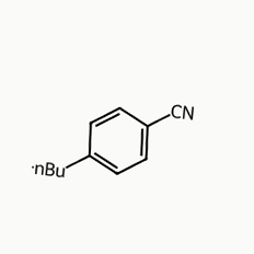 CCC[CH]c1ccc(C#N)cc1